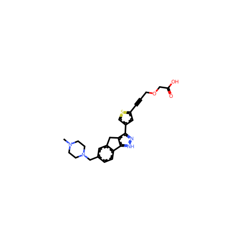 CN1CCN(Cc2ccc3c(c2)Cc2c(-c4csc(C#CCOCC(=O)O)c4)n[nH]c2-3)CC1